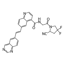 N#CC1CC(F)(F)CN1C(=O)CNC(=O)c1ccnc2ccc(C=Cc3ccc4ncncc4c3)cc12